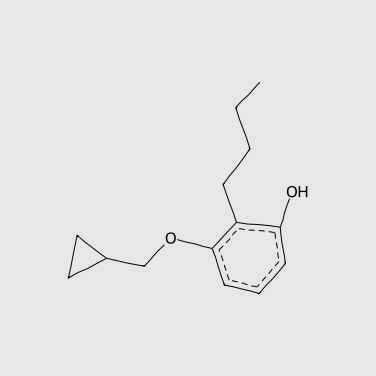 CCCCc1c(O)cccc1OCC1CC1